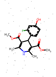 COC(=O)C1=C(C)NC(C)=C(C(=O)OC)C1c1ccc(O)cc1F